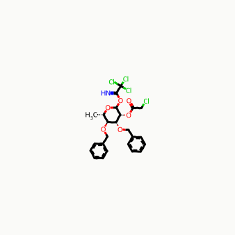 C[C@@H]1OC(OC(=N)C(Cl)(Cl)Cl)[C@H](OC(=O)CCl)[C@H](OCc2ccccc2)[C@H]1OCc1ccccc1